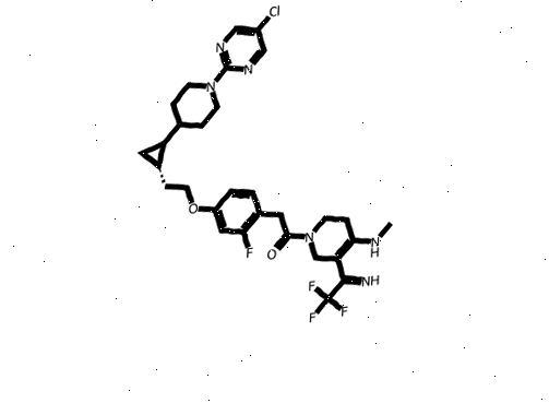 CNC1=C(C(=N)C(F)(F)F)CN(C(=O)Cc2ccc(OCC[C@@H]3CC3C3CCN(c4ncc(Cl)cn4)CC3)cc2F)CC1